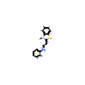 CN1/C(=C\C=N\c2ccccc2)Sc2ccccc21